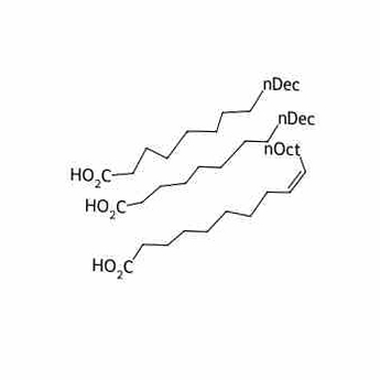 CCCCCCCC/C=C\CCCCCCCC(=O)O.CCCCCCCCCCCCCCCCCC(=O)O.CCCCCCCCCCCCCCCCCC(=O)O